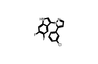 Fc1cc2[nH]cc(-n3nccc3-c3cccc(Cl)c3)c2cc1F